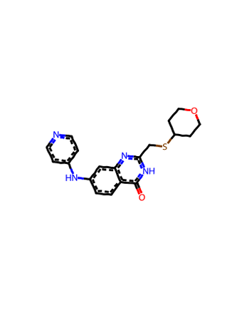 O=c1[nH]c(CSC2CCOCC2)nc2cc(Nc3ccncc3)ccc12